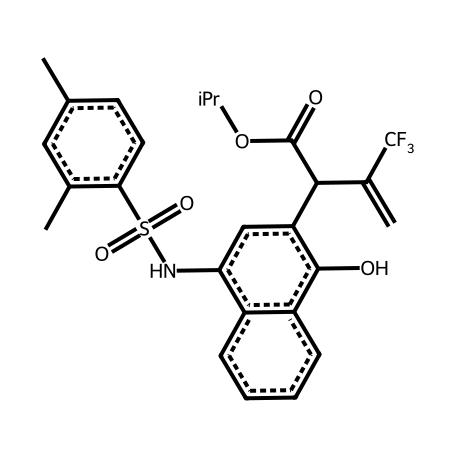 C=C(C(C(=O)OC(C)C)c1cc(NS(=O)(=O)c2ccc(C)cc2C)c2ccccc2c1O)C(F)(F)F